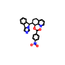 O=C(O[C@@H]1c2ncccc2CCC1C1c2ccccc2-c2cncn21)c1ccc([N+](=O)[O-])cc1